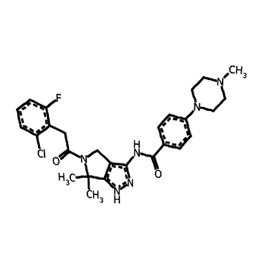 CN1CCN(c2ccc(C(=O)Nc3n[nH]c4c3CN(C(=O)Cc3c(F)cccc3Cl)C4(C)C)cc2)CC1